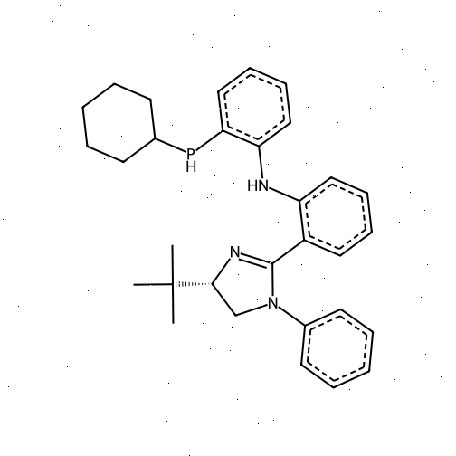 CC(C)(C)[C@H]1CN(c2ccccc2)C(c2ccccc2Nc2ccccc2PC2CCCCC2)=N1